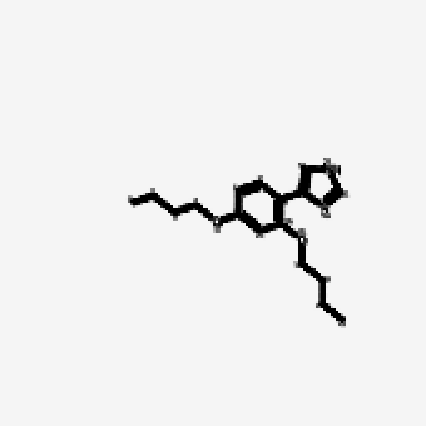 CCCCOc1ccc(-c2c[nH]cn2)c(OCCCC)c1